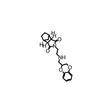 O=C1[C@@H]2[C@H]3CC[C@H](C3)[C@@H]2C(=O)N1CCNCC1COc2ccccc2O1